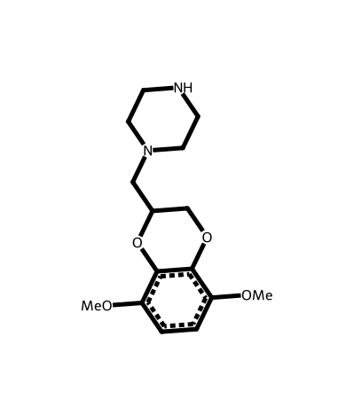 COc1ccc(OC)c2c1OCC(CN1CCNCC1)O2